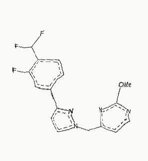 COc1nccc(Cn2ccc(-c3ccc(C(F)F)c(F)c3)n2)n1